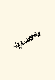 O=C(COCC(=O)NC(CS)C(=O)O)Cc1ccc(CCC(=O)N2CCC2=O)cc1